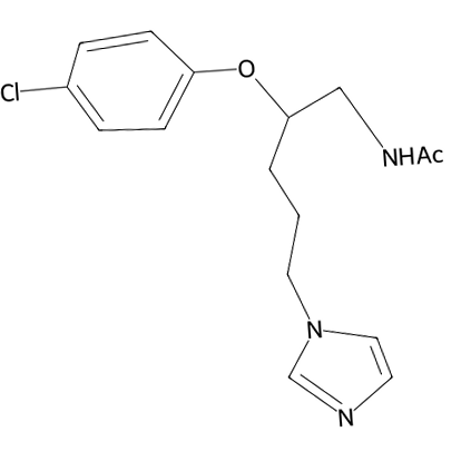 CC(=O)NCC(CCCn1ccnc1)Oc1ccc(Cl)cc1